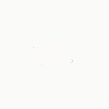 O.O=P(O)(O)O.[CaH2].[Zr]